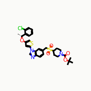 C[C@@H](Oc1csc(-n2cnc3ccc(CS(=O)(=O)C4CCN(C(=O)OC(C)(C)C)CC4)cc32)c1)c1ccccc1Cl